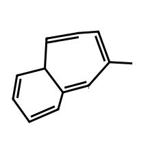 CC1=CC=CC2C=CC=CC2=[C]1